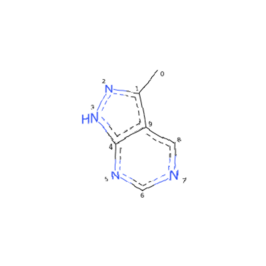 Cc1n[nH]c2ncncc12